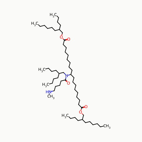 CCCCCCC(CCCC)COC(=O)CCCCCCCCC(CCCCCCCCC(=O)OCC(CCCC)CCCCCC)N(CC(CCCC)CCCC)C(=O)CCCCNC